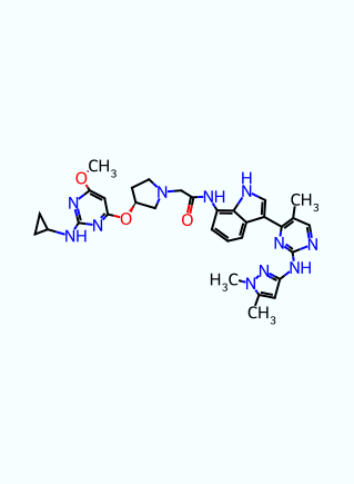 COc1cc(O[C@H]2CCN(CC(=O)Nc3cccc4c(-c5nc(Nc6cc(C)n(C)n6)ncc5C)c[nH]c34)C2)nc(NC2CC2)n1